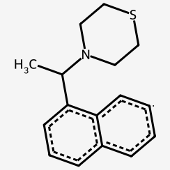 CC(c1cccc2cc[c]cc12)N1CCSCC1